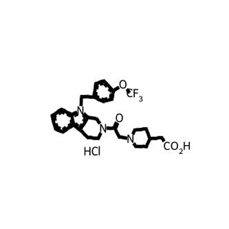 Cl.O=C(O)CC1CCN(CC(=O)N2CCc3c(n(Cc4ccc(OC(F)(F)F)cc4)c4ccccc34)C2)CC1